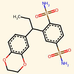 CCC(c1ccc2c(c1)OCCO2)c1cc(S(N)(=O)=O)ccc1S(N)(=O)=O